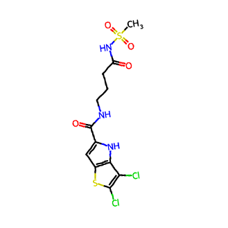 CS(=O)(=O)NC(=O)CCCNC(=O)c1cc2sc(Cl)c(Cl)c2[nH]1